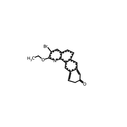 CCOc1nc2c(ccc3cc4c(cc32)=CCC(=O)C=4)cc1Br